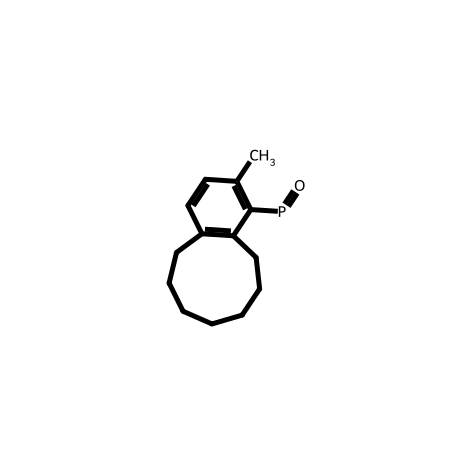 Cc1ccc2c(c1P=O)CCCCCCC2